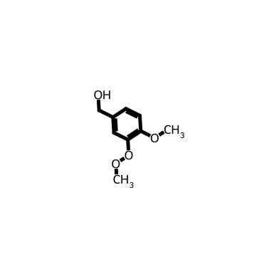 COOc1cc(CO)ccc1OC